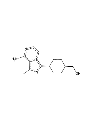 Nc1nccn2c1c(I)nc2[C@H]1CC[C@H](CO)CC1